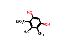 CCOC(=O)c1c(O)cc(O)c(C)c1C